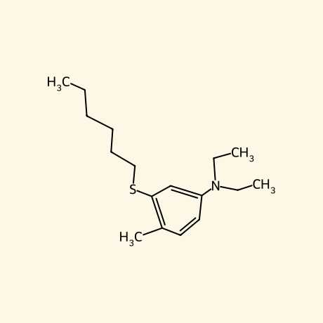 CCCCCCSc1cc(N(CC)CC)ccc1C